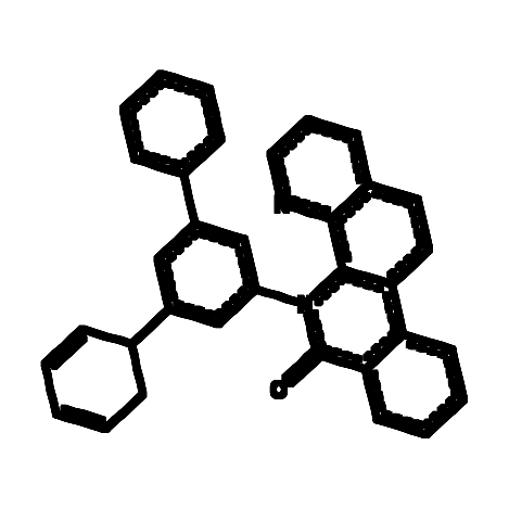 O=c1c2ccccc2c2ccc3cccnc3c2n1-c1cc(-c2ccccc2)cc(C2C=CC=CC2)c1